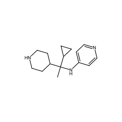 CC(Nc1ccncc1)(C1CCNCC1)C1CC1